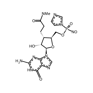 CNC(=O)CC[C@H]1[C@@H](O)[C@H](n2cnc3c(=O)[nH]c(N)nc32)O[C@@H]1COP(=O)(N=O)n1ccnc1